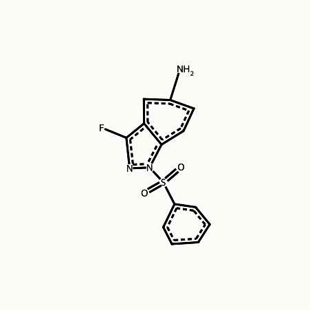 Nc1ccc2c(c1)c(F)nn2S(=O)(=O)c1ccccc1